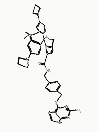 CS1(C)c2cc(N3CCC3)ccc2C2(OCc3ccc(C(=O)NCc4ccc(COc5nc(N)nc6[nH]cnc56)cc4)cc32)c2ccc(N3CCC3)cc21